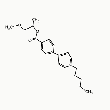 CCCCCc1ccc(-c2ccc(C(=O)OC(C)COC)cc2)cc1